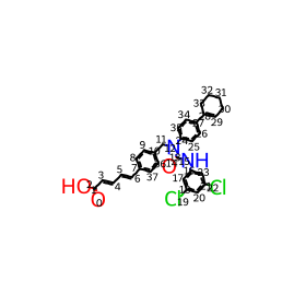 O=C(O)C=CC=Cc1ccc(CN(C(=O)Nc2cc(Cl)cc(Cl)c2)c2ccc(C3=CCCCC3)cc2)cc1